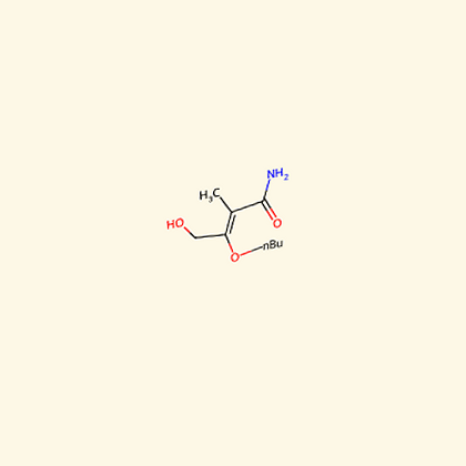 CCCCOC(CO)=C(C)C(N)=O